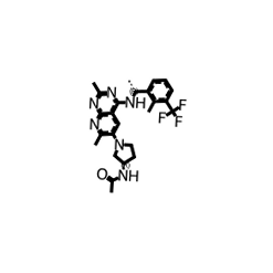 CC(=O)N[C@@H]1CCN(c2cc3c(N[C@H](C)c4cccc(C(F)(F)F)c4C)nc(C)nc3nc2C)C1